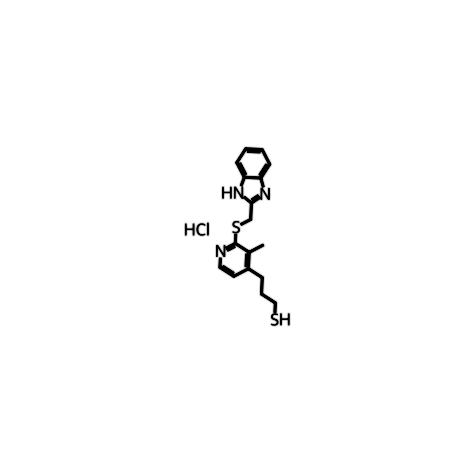 Cc1c(CCCS)ccnc1SCc1nc2ccccc2[nH]1.Cl